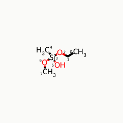 CCO[Si](C)(O)OC